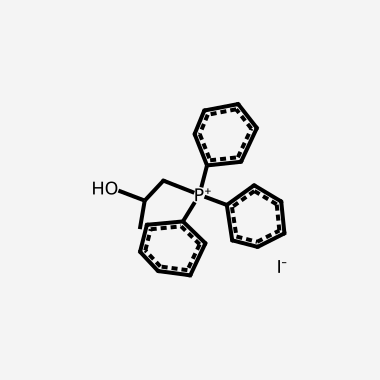 CC(O)C[P+](c1ccccc1)(c1ccccc1)c1ccccc1.[I-]